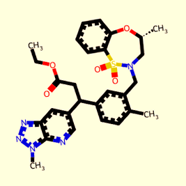 CCOC(=O)CC(c1ccc(C)c(CN2C[C@@H](C)Oc3ccccc3S2(=O)=O)c1)c1cnc2c(c1)nnn2C